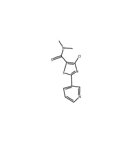 CN(C)C(=S)c1sc(-c2cccnc2)nc1Cl